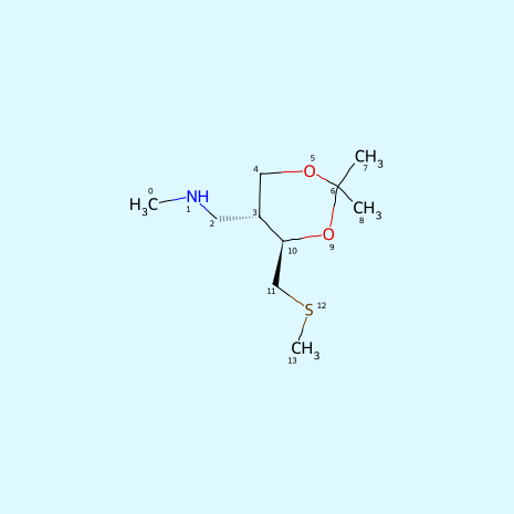 CNC[C@@H]1COC(C)(C)O[C@H]1CSC